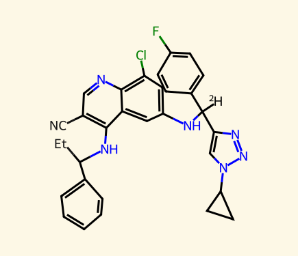 [2H]C(Nc1cc(Cl)c2ncc(C#N)c(NC(CC)c3ccccc3)c2c1)(c1ccc(F)cc1)c1cn(C2CC2)nn1